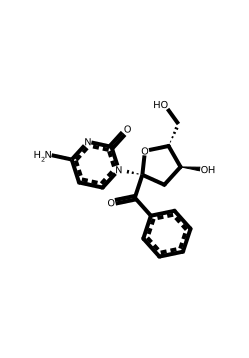 Nc1ccn([C@@]2(C(=O)c3ccccc3)C[C@H](O)[C@@H](CO)O2)c(=O)n1